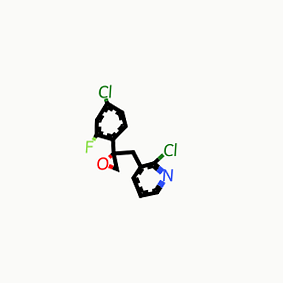 Fc1cc(Cl)ccc1C1(Cc2cccnc2Cl)CO1